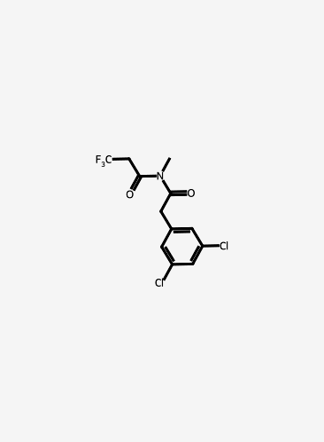 CN(C(=O)Cc1cc(Cl)cc(Cl)c1)C(=O)CC(F)(F)F